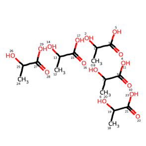 CC(O)C(=O)O.CC(O)C(=O)O.CC(O)C(=O)O.CC(O)C(=O)O.CC(O)C(=O)O